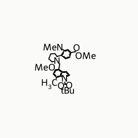 CNc1cc(C(=O)OC)ccc1C1CCCCN1Cc1c(OC)cc(C)c2c1ccn2C(=O)OC(C)(C)C